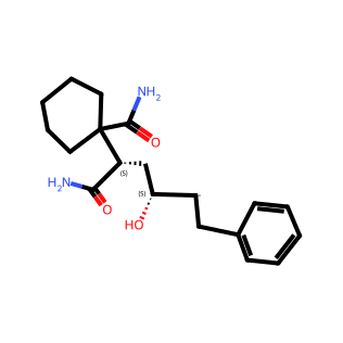 NC(=O)[C@@H](C[C@@H](O)[CH]Cc1ccccc1)C1(C(N)=O)CCCCC1